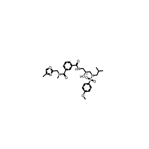 COc1ccc(S(=O)(=O)N(CC(C)C)C[C@@H](O)CNC(=O)c2cccc(C(=O)N(C)Cc3nc(C)co3)c2)cc1